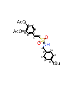 CC(=O)Oc1ccc(/C=C/S(=O)(=O)NCc2ccc(C(C)(C)C)cc2)cc1OC(C)=O